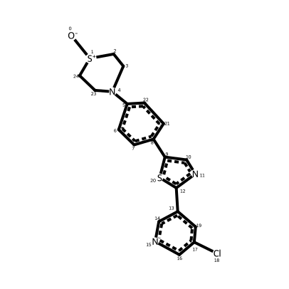 [O-][S+]1CCN(c2ccc(-c3cnc(-c4cncc(Cl)c4)s3)cc2)CC1